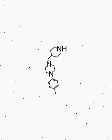 Cc1ccc(N2CCN(CC3CCNCC3)CC2)cc1